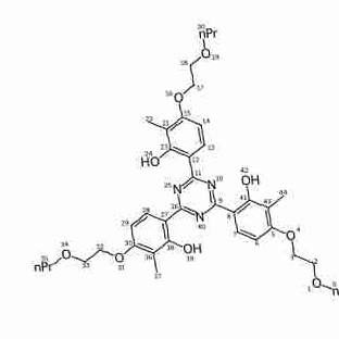 CCCOCCOc1ccc(-c2nc(-c3ccc(OCCOCCC)c(C)c3O)nc(-c3ccc(OCCOCCC)c(C)c3O)n2)c(O)c1C